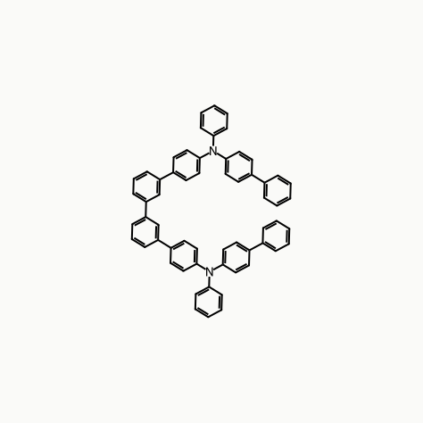 c1ccc(-c2ccc(N(c3ccccc3)c3ccc(-c4cccc(-c5cccc(-c6ccc(N(c7ccccc7)c7ccc(-c8ccccc8)cc7)cc6)c5)c4)cc3)cc2)cc1